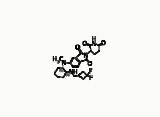 CN(c1ccc2c(c1)C(=O)N(C1CCC(=O)NC1=O)C2=O)[C@H]1CCCC[C@@H]1NCC1CC(F)(F)C1